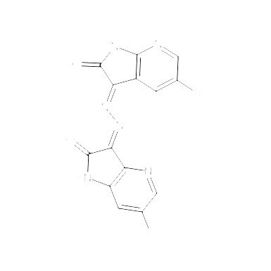 O=C1Nc2cc(Cl)cnc2/C1=N/N=C1/C(=O)Nc2ncc(Br)cc21